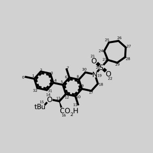 Cc1ccc(-c2c(C)c3c(c(C)c2[C@H](OC(C)(C)C)C(=O)O)CCN(S(=O)(=O)C2CCCCCC2)C3)cc1